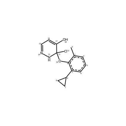 Cc1cccc(C2CC2)c1OC1(Cl)NN=CC=C1O